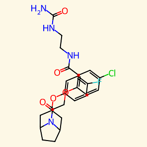 NC(=O)NCCNC(=O)c1cc(Cl)ccc1OCC(=O)N1C2CCC1CC(Oc1ccc(F)cc1)C2